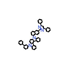 c1ccc(-c2cccc(-n3c4ccccc4c4c5c6ccccc6n(-c6cccc7cc(-c8nc(-c9ccccc9)cc(-c9ccccc9)n8)ccc67)c5ccc43)c2)cc1